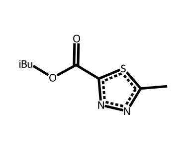 CCC(C)OC(=O)c1nnc(C)s1